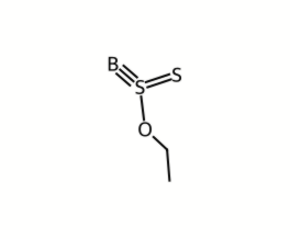 B#S(=S)OCC